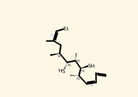 C=C/C=C\[C@H](C)[C@H](S)[C@@H](C)[C@H](S)[C@@H](C)C/C(C)=C\CC